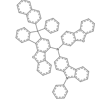 c1ccc(-n2c3ccccc3c3cc(N(c4ccc5c(c4)oc4ccccc45)c4cc5c(c6oc7ccccc7c46)-c4ccccc4C5(c4ccccc4)c4ccc5ccccc5c4)ccc32)cc1